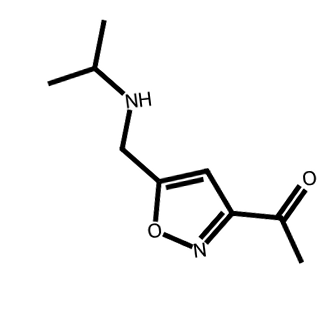 CC(=O)c1cc(CNC(C)C)on1